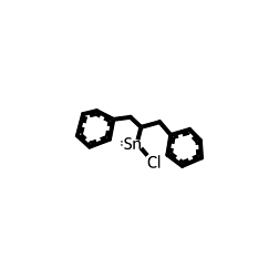 [Cl][Sn][CH](Cc1ccccc1)Cc1ccccc1